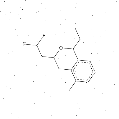 CCC1OC(CC(F)F)Cc2c(C)cccc21